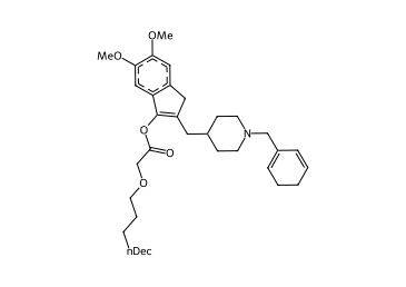 CCCCCCCCCCCCCOCC(=O)OC1=C(CC2CCN(CC3=CCCC=C3)CC2)Cc2cc(OC)c(OC)cc21